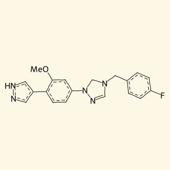 COc1cc(N2CN(Cc3ccc(F)cc3)C=N2)ccc1-c1cn[nH]c1